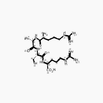 CC(C)[C@H](NC(=O)[C@@H](N)CCCNC(=N)N)C(=O)N[C@@H](CS)C(=O)N[C@@H](CCCNC(=N)N)C(=O)O